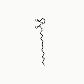 CCCCCCCCCCCCOC(=O)N1CCCC1=O